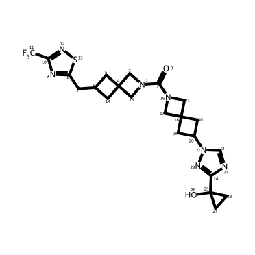 O=C(N1CC2(CC(Cc3nc(C(F)(F)F)ns3)C2)C1)N1CC2(CC(n3cnc(C4(O)CC4)n3)C2)C1